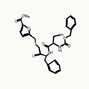 COC(=O)c1ccc(CSCC(=O)C(Cc2ccccc2)NC(=O)C(CC(C)C)NC(=O)OCc2ccccc2)o1